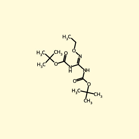 CCON=C(NC(=O)OC(C)(C)C)NC(=O)OC(C)(C)C